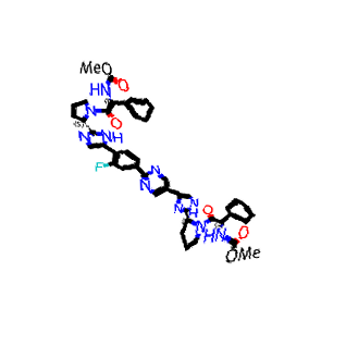 COC(=O)N[C@H](C(=O)N1CCC[C@H]1c1nc(-c2cnc(-c3ccc(-c4cnc([C@@H]5CCCN5C(=O)[C@H](NC(=O)OC)c5ccccc5)[nH]4)c(F)c3)nc2)c[nH]1)c1ccccc1